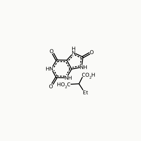 CCC(C(=O)O)C(=O)O.O=c1[nH]c(=O)c2[nH]c(=O)[nH]c2[nH]1